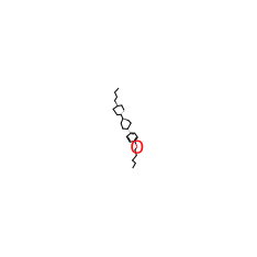 CCCCCOc1ccc([C@H]2CC[C@H]([C@H]3CC[C@H](CCCC)CC3)CC2)cc1